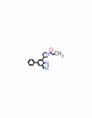 C=CC(=O)N1CCC(c2cc(-c3ccccc3)cc3cncnc23)C1